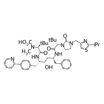 CC(C)c1nc(CN2CCN([C@H](C(=O)N[C@@H](Cc3ccccc3)C[C@H](O)[C@H](Cc3ccc(-c4ccccn4)cc3)NC(=O)[C@@H](N(C)C(=O)O)C(C)(C)C)C(C)(C)C)C2=O)cs1